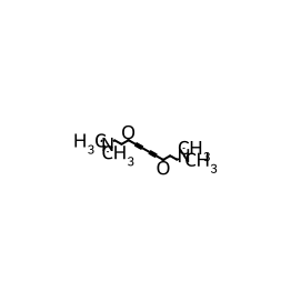 CN(C)CCC(=O)C#CC#CC(=O)CCN(C)C